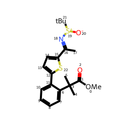 COC(=O)C(C)(C)c1ccccc1-c1ccc(C(C)=N[S+]([O-])C(C)(C)C)s1